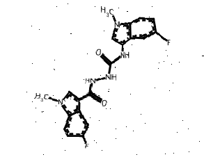 Cn1cc(NC(=O)NNC(=O)c2cn(C)c3ccc(F)cc23)c2cc(F)ccc21